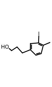 Cc1ccc(CCCO)cc1I